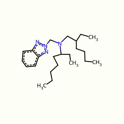 CCCCCC(CC)N(CC(CC)CCCC)Cn1nc2ccccc2n1